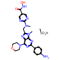 CN(Cc1nc2c(N3CCOCC3)nc(-c3ccc(N)cc3)nc2n1C)c1ncc(C(=O)NO)cn1.CS(=O)(=O)O